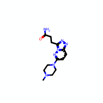 CN1CCN(c2ccc3nnc(CCC(N)=O)n3n2)CC1